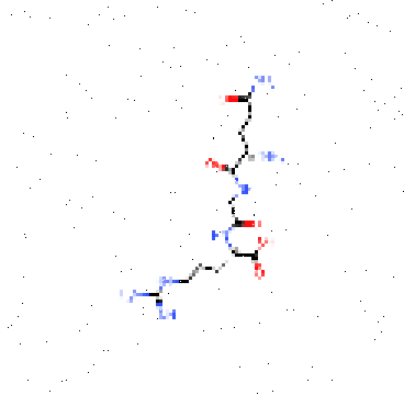 N=C(N)NCCC[C@H](NC(=O)CNC(=O)[C@@H](N)CCC(N)=O)C(=O)O